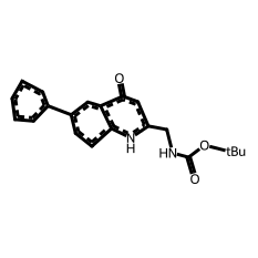 CC(C)(C)OC(=O)NCc1cc(=O)c2cc(-c3ccccc3)ccc2[nH]1